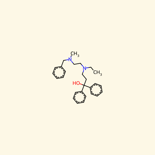 CCN(CCN(C)Cc1ccccc1)CCC(O)(c1ccccc1)c1ccccc1